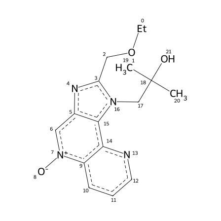 CCOCc1nc2c[n+]([O-])c3cccnc3c2n1CC(C)(C)O